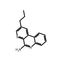 CCCc1cnc2c(N)nc3ccccc3c2c1